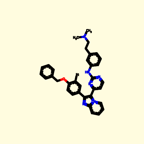 CCc1cc(-c2nc3ccccn3c2-c2ccnc(Nc3cccc(CCN(C)C)c3)n2)ccc1OCc1ccccc1